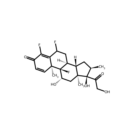 C[C@@H]1C[C@H]2[C@@H]3CC(F)C4=C(F)C(=O)C=C[C@]4(C)[C@@]3(F)[C@@H](O)C[C@]2(C)[C@@]1(O)C(=O)CO